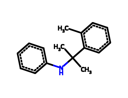 Cc1ccccc1C(C)(C)Nc1ccccc1